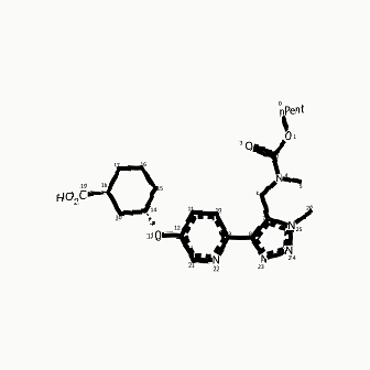 CCCCCOC(=O)N(C)Cc1c(-c2ccc(O[C@H]3CCC[C@H](C(=O)O)C3)cn2)nnn1C